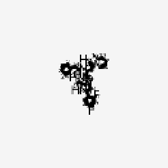 CC(NC(=O)C(CC(=O)N1CCCC[C@@H]1C)NC(=O)Cc1ccccc1)c1ncc(-c2ccc(F)cc2F)[nH]1